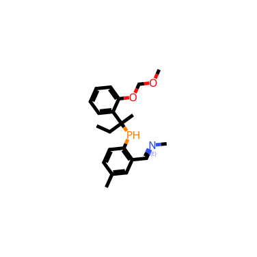 CCC(C)(Pc1ccc(C)cc1/C=N/C)c1ccccc1OCOC